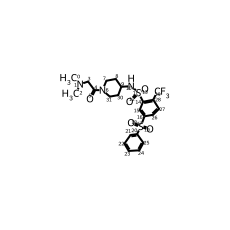 CN(C)CC(=O)N1CCC(NS(=O)(=O)c2cc(S(=O)(=O)c3ccccc3)ccc2C(F)(F)F)CC1